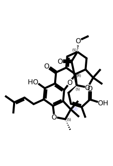 CO[C@]12C=C3C(=O)c4c(O)c(CC=C(C)C)c5c(c4O[C@]34C(C1)C(C)(C)O[C@]4(C/C=C(/C)C(=O)O)C2=O)C(C)(C)[C@H](C)O5